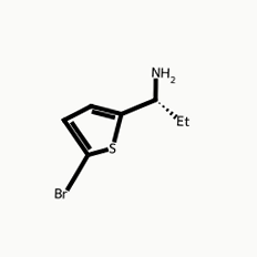 CC[C@@H](N)c1ccc(Br)s1